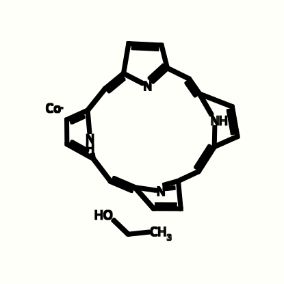 C1=Cc2cc3ccc(cc4nc(cc5ccc(cc1n2)[nH]5)C=C4)[nH]3.CCO.[Co]